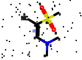 CN(C)/C=C(/C#N)S(C)(=O)=O